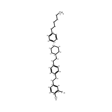 CCCCCCc1ccc([C@H]2CC[C@H](CCc3ccc(CCc4ccc(Cl)c(F)c4)cc3)CC2)cc1